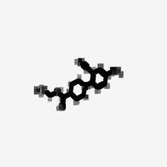 CCOC(=O)C1CCN(c2ccc(N)cc2C#N)CC1